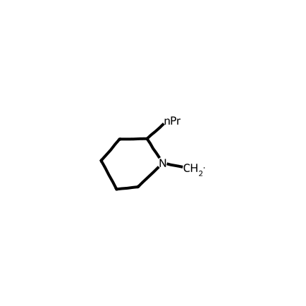 [CH2]N1CCCCC1CCC